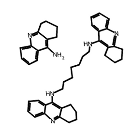 Nc1c2c(nc3ccccc13)CCCC2.c1ccc2c(NCCCCCCCNc3c4c(nc5ccccc35)CCCC4)c3c(nc2c1)CCCC3